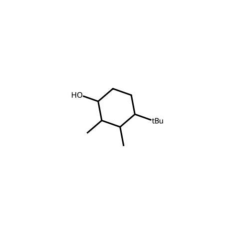 CC1C(O)CCC(C(C)(C)C)C1C